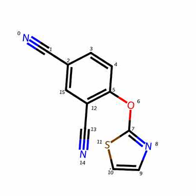 N#Cc1ccc(Oc2nc[c]s2)c(C#N)c1